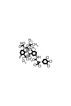 CC(C)(C)OC(=O)N(C(=O)O)c1ccc(F)c(C(C)(C)C)c1NC(=O)c1cc(NC(=O)[C@H]2[C@H](c3cc(Cl)c(Cl)c(Cl)c3)C2(Cl)Cl)ccc1Cl